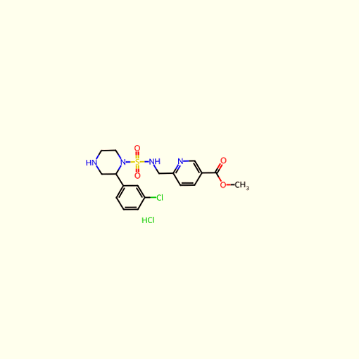 COC(=O)c1ccc(CNS(=O)(=O)N2CCNCC2c2cccc(Cl)c2)nc1.Cl